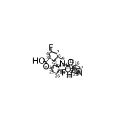 O=C(O)c1cc(F)cc(CN(C(=O)O[C@H]2CN3CCC2CC3)c2ccccc2F)c1